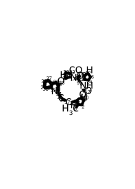 CC1CC[C@H]2OC(=O)N[C@@H](C3CCCC3)C(=O)N3C[C@@H](C[C@H]3C(=O)O)Oc3cc4ccccc4nc3CCCCC[C@H]12